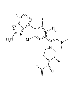 C=C(F)C(=O)N1CCN(c2c(N(C)C)cnc3c(F)c(-c4ccc(F)c5sc(N)nc45)c(Cl)cc23)C[C@H]1C